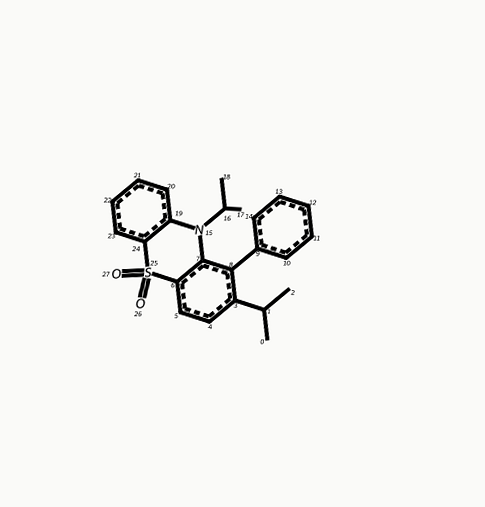 CC(C)c1ccc2c(c1-c1ccccc1)N(C(C)C)c1ccccc1S2(=O)=O